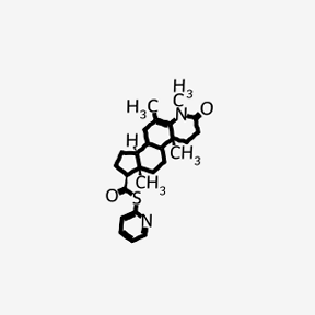 CC1=C2N(C)C(=O)CC[C@]2(C)C2CC[C@]3(C)[C@@H](C(=O)Sc4ccccn4)CC[C@H]3C2C1